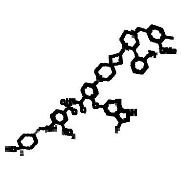 COc1cc(CN2CCN(C3CC4(CCN(c5ccc(C(=O)NS(=O)(=O)c6ccc(NC[C@H]7CC[C@](C)(O)CC7)c([N+](=O)[O-])c6)c(Oc6cnc7[nH]cc(F)c7c6)c5)CC4)C3)[C@H](c3ccccc3C(C)C)C2)ccc1C